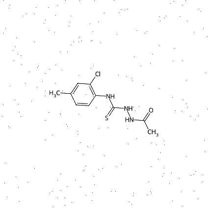 CC(=O)NNC(=S)Nc1ccc(C)cc1Cl